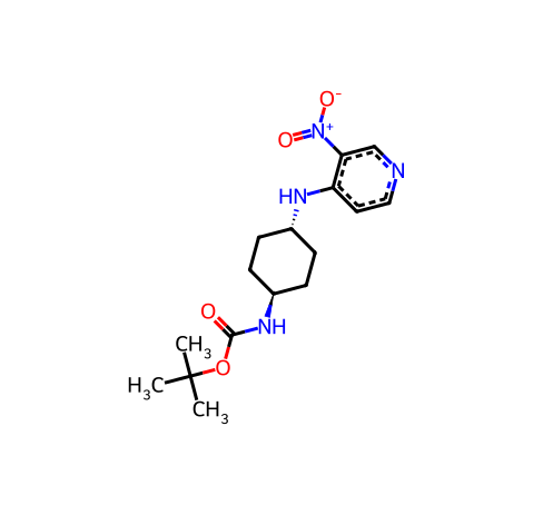 CC(C)(C)OC(=O)N[C@H]1CC[C@H](Nc2ccncc2[N+](=O)[O-])CC1